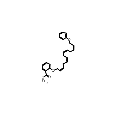 COC(=O)c1ccccc1OC/C=C\C/C=C\C/C=C\C/C=C\COc1ccccc1